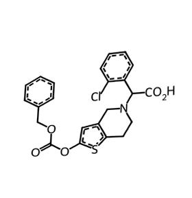 O=C(OCc1ccccc1)Oc1cc2c(s1)CCN(C(C(=O)O)c1ccccc1Cl)C2